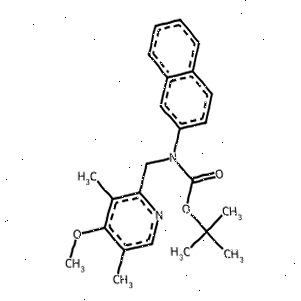 COc1c(C)cnc(CN(C(=O)OC(C)(C)C)c2ccc3ccccc3c2)c1C